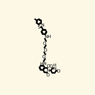 Cc1ccc2nc(-c3ccc(NCCOCCOCCOCCNc4cccc5c4C(=O)N(C4CCC(=O)NC4=O)C(=O)C5)cc3)sc2c1